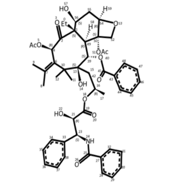 CC[C@]12C(=O)[C@H](OC(C)=O)C(=C(C)C)C(C)(C)[C@@](O)(C[C@@H](C)OC(=O)[C@H](O)[C@@H](NC(=O)c3ccccc3)c3ccccc3)[C@@H](OC(=O)c3ccccc3)[C@@H]1[C@]1(OC(C)=O)CO[C@@H]1C[C@@H]2O